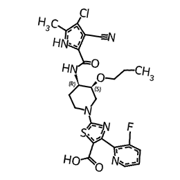 CCCO[C@H]1CN(c2nc(-c3ncccc3F)c(C(=O)O)s2)CC[C@H]1NC(=O)c1[nH]c(C)c(Cl)c1C#N